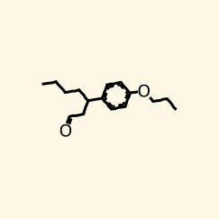 CCCCC(CC=O)c1ccc(OCCC)cc1